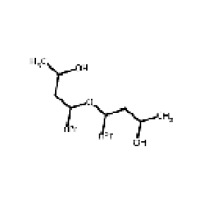 CCCC(CC(C)O)OC(CCC)CC(C)O